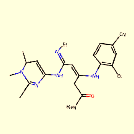 CC/N=C(\C=C(/CC(=O)NC)Nc1ccc(C#N)cc1CC)NC1=CC(C)N(C)C(C)=N1